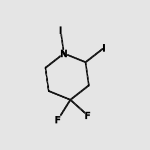 FC1(F)CCN(I)C(I)C1